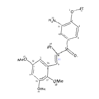 CCOc1ccc(C(=O)/C(=C/c2cc(OC)cc(OC)c2OC)C(C)C)cc1N